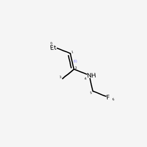 CC/C=C(\C)NCF